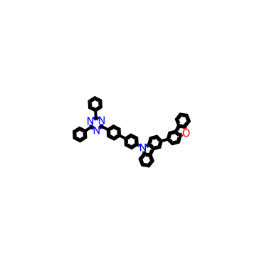 c1ccc(-c2nc(-c3ccccc3)nc(-c3ccc(-c4ccc(-n5c6ccccc6c6cc(-c7ccc8oc9ccccc9c8c7)ccc65)cc4)cc3)n2)cc1